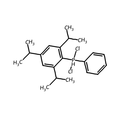 CC(C)c1cc(C(C)C)c([PH](Cl)(Cl)c2ccccc2)c(C(C)C)c1